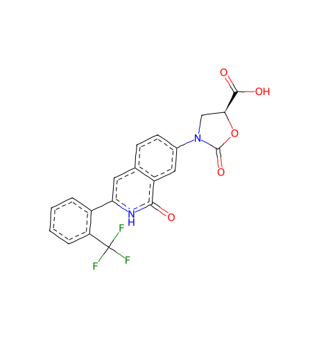 O=C(O)[C@@H]1CN(c2ccc3cc(-c4ccccc4C(F)(F)F)[nH]c(=O)c3c2)C(=O)O1